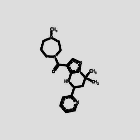 CN1CCCN(C(=O)c2cnn3c2NC(c2ccccn2)CC3(C)C)CC1